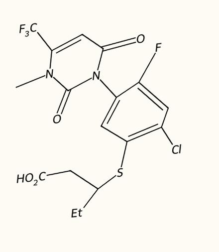 CCC(CC(=O)O)Sc1cc(-n2c(=O)cc(C(F)(F)F)n(C)c2=O)c(F)cc1Cl